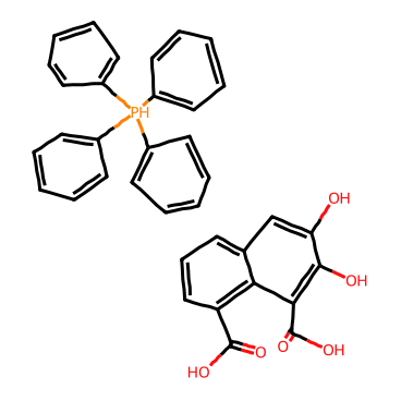 O=C(O)c1cccc2cc(O)c(O)c(C(=O)O)c12.c1ccc([PH](c2ccccc2)(c2ccccc2)c2ccccc2)cc1